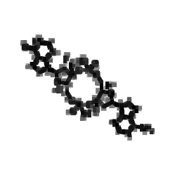 Nc1ncnc2c1ncn2[C@H]1C[C@@H]2OP(=O)(S)OC[C@H]3O[C@@H](n4cnc5c(=O)[nH]cnc54)[C@H](F)[C@@H]3OP(=O)(O)OC[C@H]2O1